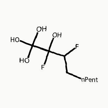 CCCCCCC(F)C(O)(F)C(O)(O)O